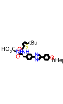 CCCCCCCOc1ccc(-c2cnc(-c3ccc(C[C@H](NC(=O)c4ccc(C(C)(C)C)s4)C(=O)NCC(=O)O)cc3)nc2)cc1